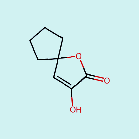 O=C1OC2(C=C1O)CCCC2